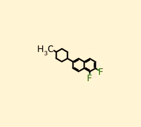 CC1CCC(c2ccc3c(F)c(F)ccc3c2)CC1